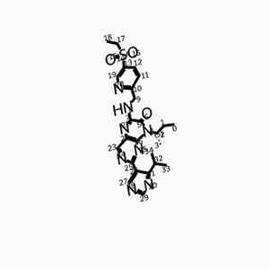 CC[C@H](C)n1c(=O)c(NCc2ccc(S(=O)(=O)CC)cn2)nc2cnc(-c3cncnc3C(C)C)nc21